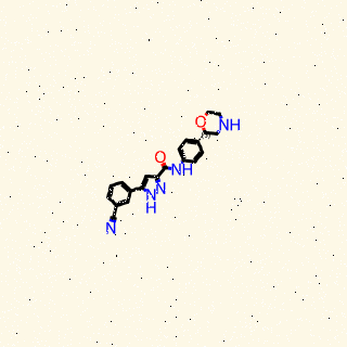 N#Cc1cccc(-c2cc(C(=O)Nc3ccc([C@H]4CNCCO4)cc3)n[nH]2)c1